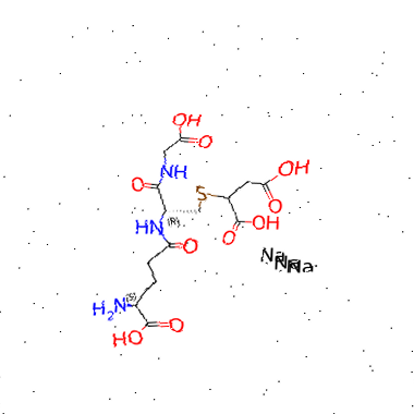 N[C@@H](CCC(=O)N[C@@H](CSC(CC(=O)O)C(=O)O)C(=O)NCC(=O)O)C(=O)O.[Na].[Na].[Na]